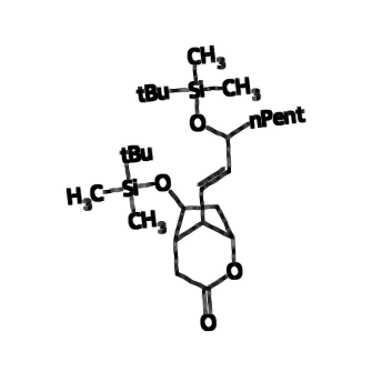 CCCCCC(C=CC1C2CC(O[Si](C)(C)C(C)(C)C)C1CC(=O)O2)O[Si](C)(C)C(C)(C)C